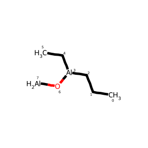 CC[CH2][Al]([CH2]C)[O][AlH2]